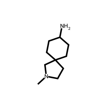 CN1CCC2(CCC(N)CC2)C1